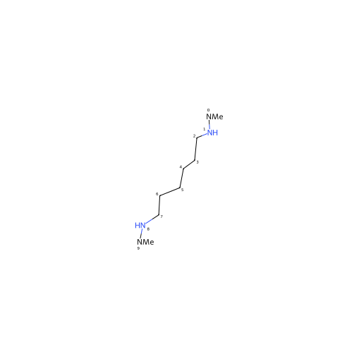 CNNCCCCCCNNC